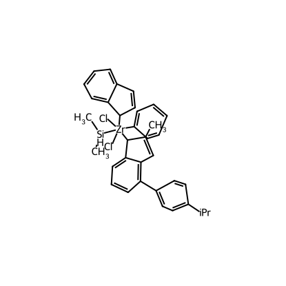 CC1=Cc2c(-c3ccc(C(C)C)cc3)cccc2[CH]1[Zr]([Cl])([Cl])([c]1ccccc1)([CH]1C=Cc2ccccc21)[SiH](C)C